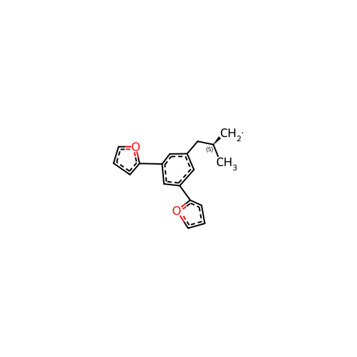 [CH2][C@@H](C)Cc1cc(-c2ccco2)cc(-c2ccco2)c1